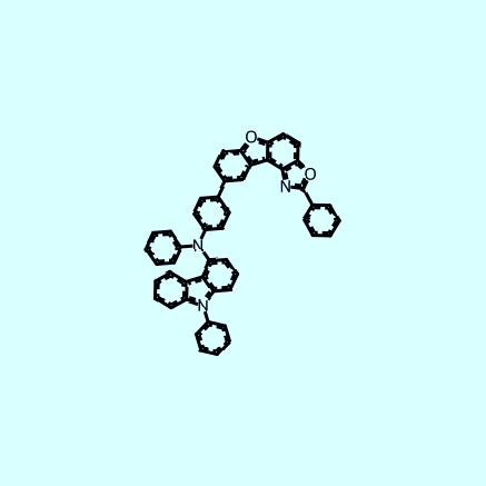 c1ccc(-c2nc3c(ccc4oc5ccc(-c6ccc(N(c7ccccc7)c7cccc8c7c7ccccc7n8-c7ccccc7)cc6)cc5c43)o2)cc1